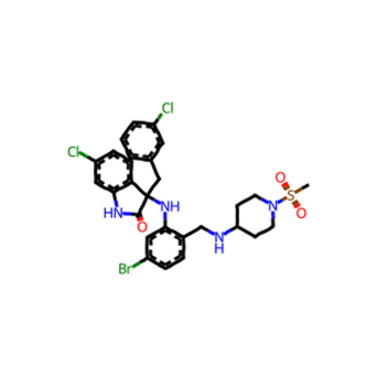 CS(=O)(=O)N1CCC(NCc2ccc(Br)cc2NC2(Cc3cccc(Cl)c3)C(=O)Nc3cc(Cl)ccc32)CC1